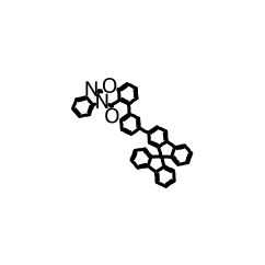 O=c1c2c(-c3cccc(-c4ccc5c(c4)C4(c6ccccc6-c6ccccc64)c4ccccc4-5)c3)cccc2oc2nc3ccccc3n12